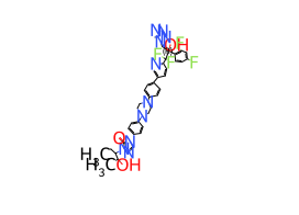 CCC(C(C)O)n1ncn(-c2ccc(N3CCN(c4ccc(-c5ccc(C(F)(F)[C@](O)(Cn6cnnn6)c6ccc(F)cc6F)nc5)cc4)CC3)cc2)c1=O